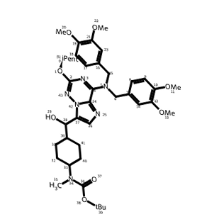 CCC[C@H](C)Oc1nc(N(Cc2ccc(OC)c(OC)c2)Cc2ccc(OC)c(OC)c2)c2ncc(C(O)C3CCC(N(C)C(=O)OC(C)(C)C)CC3)n2n1